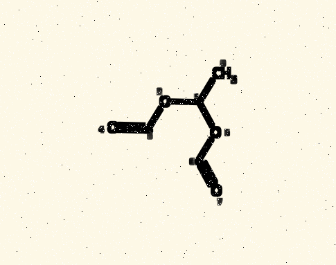 CC(O[C]=O)OC=O